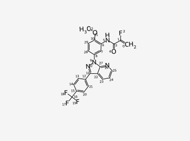 C=C(F)C(=O)Nc1cc(-n2nc(-c3ccc(C(F)(F)F)cc3)c3cccnc32)ccc1OC